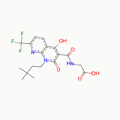 CC(C)(C)CCn1c(=O)c(C(=O)NCC(=O)O)c(O)c2ccc(C(F)(F)F)nc21